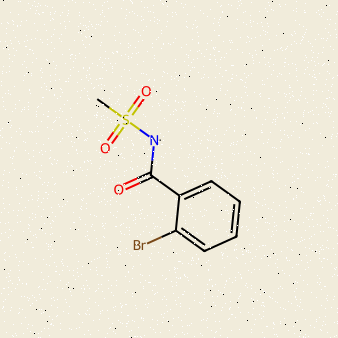 CS(=O)(=O)[N]C(=O)c1ccccc1Br